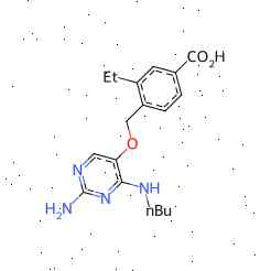 CCCCNc1nc(N)ncc1OCc1ccc(C(=O)O)cc1CC